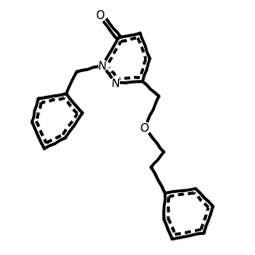 O=c1ccc(COCCc2ccccc2)nn1Cc1ccccc1